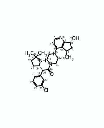 C[C@@H]1C[C@@H](O)c2ncnc(N3CCN(C(=O)C(c4cccc(Cl)c4)[C@@H]4CCC(C)(C)N4)CC3)c21